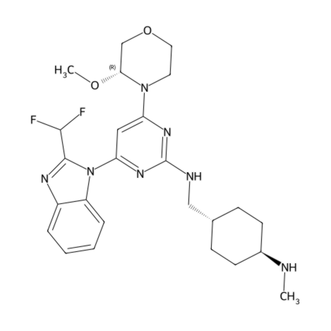 CN[C@H]1CC[C@H](CNc2nc(N3CCOC[C@H]3OC)cc(-n3c(C(F)F)nc4ccccc43)n2)CC1